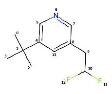 CC(C)(C)c1cncc(CC(F)F)c1